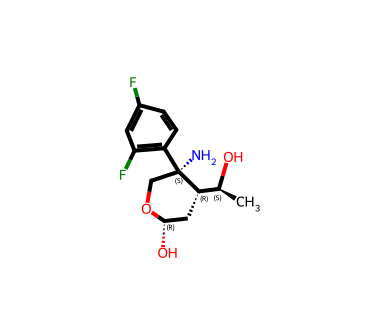 C[C@H](O)[C@@H]1C[C@H](O)OC[C@@]1(N)c1ccc(F)cc1F